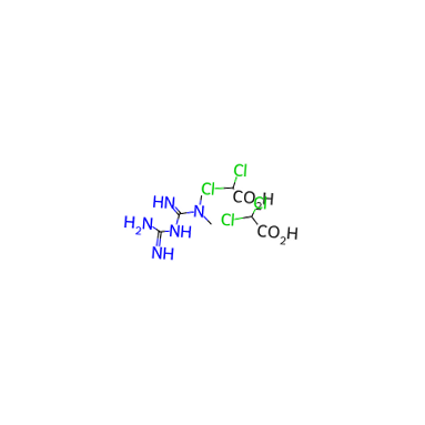 CN(C)C(=N)NC(=N)N.O=C(O)C(Cl)Cl.O=C(O)C(Cl)Cl